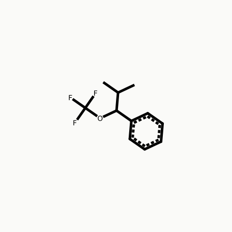 CC(C)C(OC(F)(F)F)c1ccccc1